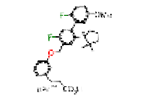 CCC[C@@H](CC(=O)O)c1cccc(OCc2cc([C@H]3CCCC3(C)C)c(-c3cc(OC)ccc3F)cc2F)c1